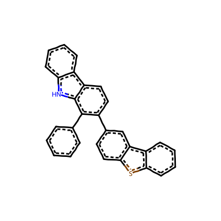 c1ccc(-c2c(-c3ccc4sc5ccccc5c4c3)ccc3c2[nH]c2ccccc23)cc1